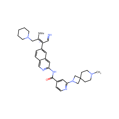 CN/C(CN1CCCCC1)=C(\C=N)c1ccc2cnc(NC(=O)c3ccnc(N4CC5(CCN(C)CC5)C4)c3)cc2c1